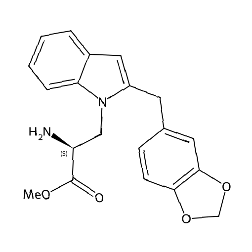 COC(=O)[C@@H](N)Cn1c(Cc2ccc3c(c2)OCO3)cc2ccccc21